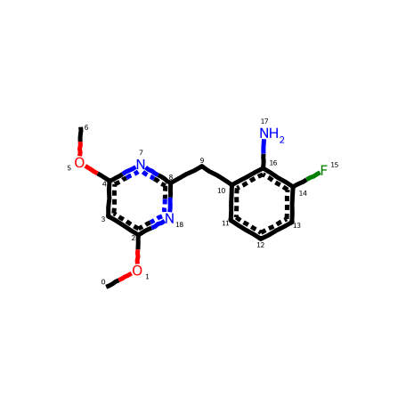 COc1cc(OC)nc(Cc2cccc(F)c2N)n1